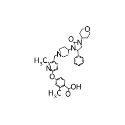 Cc1cc(Oc2ccc(CN3CCC(N4C(=O)N(C5CCOCC5)CC4c4ccccc4)CC3)c(C)n2)ccc1C(=O)O